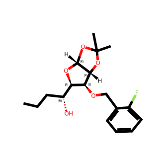 CCC[C@@H](O)[C@H]1O[C@@H]2OC(C)(C)O[C@@H]2[C@H]1OCc1ccccc1F